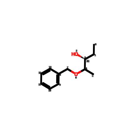 CC[C@@H](O)C(C)OCc1ccccc1